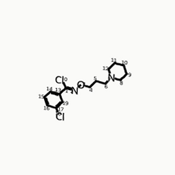 ClC(=NOCCCN1CCCCC1)c1cccc(Cl)c1